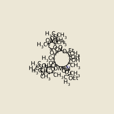 CCOC(C)(C)O/N=C1\[C@H](C)C[C@@](C)(OC)[C@H](O[C@@H]2O[C@H](C)C[C@H](N(C)C)[C@H]2O[Si](C)(C)C)[C@@H](C)[C@H](O[C@H]2C[C@@](C)(OC)[C@@H](O[Si](C)(C)C)[C@H](C)O2)[C@@H](C)C(=O)O[C@H](CC)[C@@](C)(O)[C@H](O)[C@H]1C